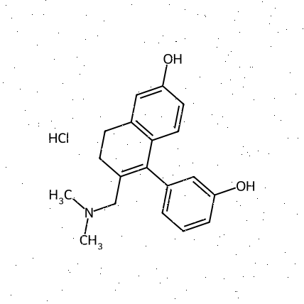 CN(C)CC1=C(c2cccc(O)c2)c2ccc(O)cc2CC1.Cl